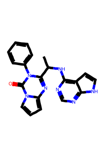 CC(Nc1ncnc2[nH]ccc12)c1nc2cccn2c(=O)n1-c1ccccc1